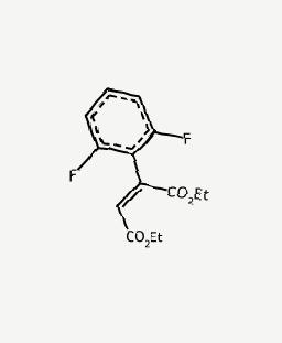 CCOC(=O)/C=C(\C(=O)OCC)c1c(F)cccc1F